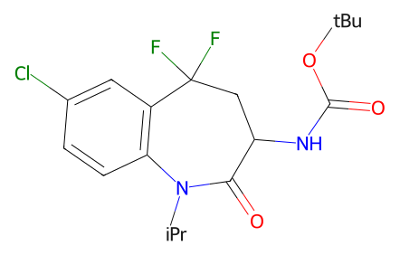 CC(C)N1C(=O)C(NC(=O)OC(C)(C)C)CC(F)(F)c2cc(Cl)ccc21